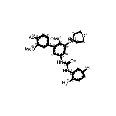 C1COCCN1.CCc1ccc(C)c(NC(=O)Nc2cc(OC)c(OC)c(-c3ccc(C(C)=O)c(OC)c3)c2)c1